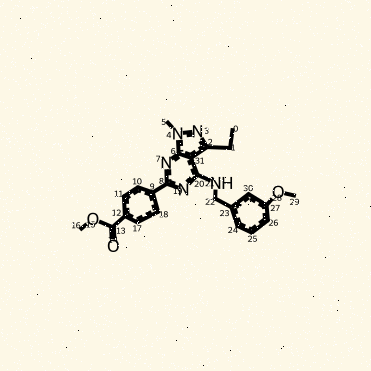 CCc1nn(C)c2nc(-c3ccc(C(=O)OC)cc3)nc(NCc3cccc(OC)c3)c12